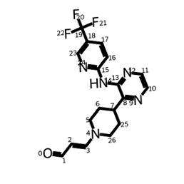 O=CC=CN1CCC(c2nccnc2Nc2ccc(C(F)(F)F)cn2)CC1